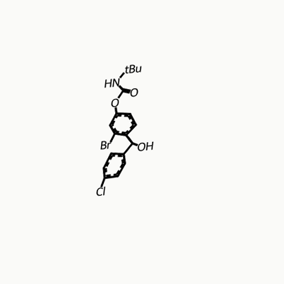 CC(C)(C)NC(=O)Oc1ccc(C(O)c2ccc(Cl)cc2)c(Br)c1